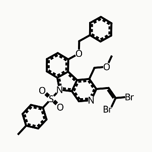 COCc1c(C=C(Br)Br)ncc2c1c1c(OCc3ccccc3)cccc1n2S(=O)(=O)c1ccc(C)cc1